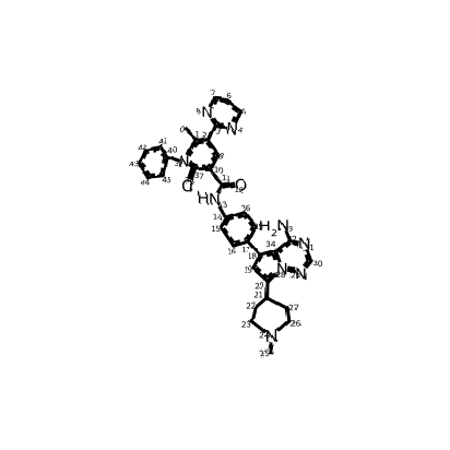 Cc1c(-c2ncccn2)cc(C(=O)Nc2ccc(-c3cc(C4CCN(C)CC4)n4ncnc(N)c34)cc2)c(=O)n1-c1ccccc1